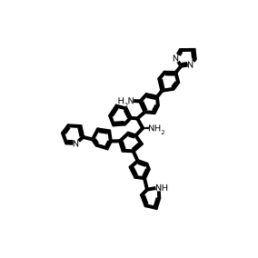 Nc1cc(-c2ccc(-c3ncccn3)cc2)ccc1C(c1ccccc1)[C@@H](N)c1cc(-c2ccc(-c3ccccn3)cc2)cc(-c2ccc(C3C=CC=CN3)cc2)c1